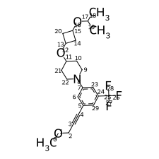 COCC#Cc1cc(N2CCC(OC3CC(OC(C)C)C3)CC2)cc(C(F)(F)F)c1